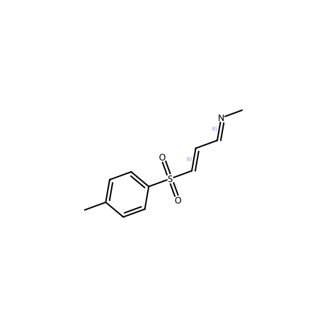 C/N=C/C=C/S(=O)(=O)c1ccc(C)cc1